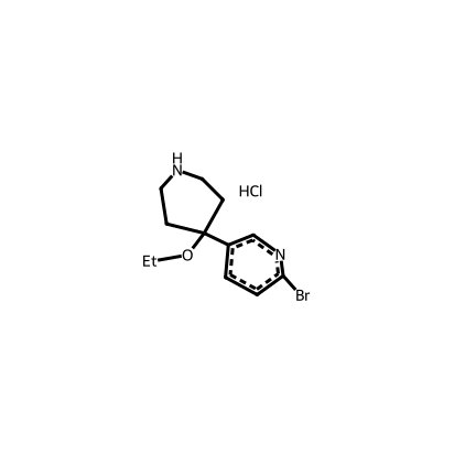 CCOC1(c2ccc(Br)nc2)CCNCC1.Cl